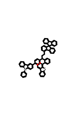 c1ccc(-n2c3ccccc3c3cc(-c4ccc(C(CCc5cccc6c5-c5ccccc5C65c6ccccc6-c6ccccc65)c5ccccc5-c5cccc6c5sc5ccccc56)cc4)ccc32)cc1